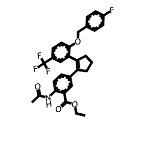 CCOC(=O)c1cc(C2=C(c3cc(C(F)(F)F)ccc3OCc3ccc(F)cc3)CCC2)ccc1NC(C)=O